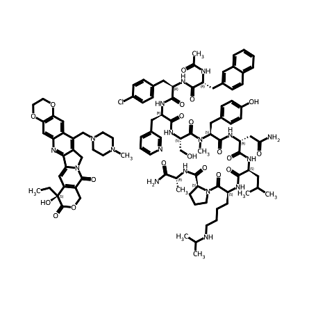 CC(=O)N[C@H](Cc1ccc2ccccc2c1)C(=O)N[C@H](Cc1ccc(Cl)cc1)C(=O)N[C@H](Cc1cccnc1)C(=O)N[C@@H](CO)C(=O)N(C)[C@@H](Cc1ccc(O)cc1)C(=O)N[C@H](CC(N)=O)C(=O)N[C@@H](CC(C)C)C(=O)N[C@@H](CCCCNC(C)C)C(=O)N1CCC[C@H]1C(=O)N[C@H](C)C(N)=O.CC[C@@]1(O)C(=O)OCc2c1cc1n(c2=O)Cc2c-1nc1cc3c(cc1c2CN1CCN(C)CC1)OCCO3